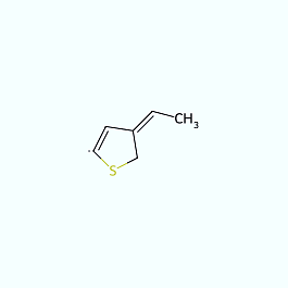 CC=C1C=[C]SC1